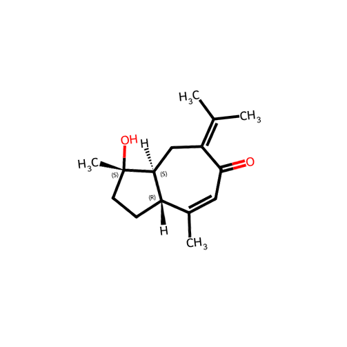 CC1=CC(=O)C(=C(C)C)C[C@H]2[C@H]1CC[C@]2(C)O